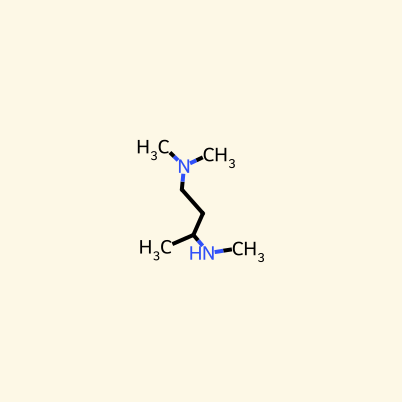 CNC(C)CCN(C)C